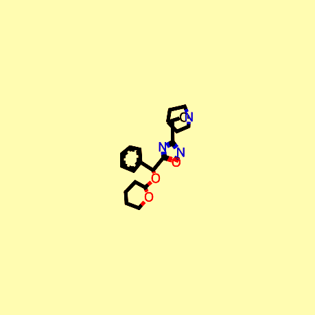 c1ccc(C(OC2CCCCO2)c2nc(C3CN4CCC3CC4)no2)cc1